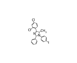 CC1C(c2ccc(Cl)cc2Cl)=NC(c2ccccc2)N1c1ccc(I)cc1